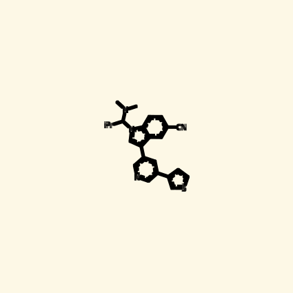 CC(C)C(N(C)C)n1cc(-c2cncc(-c3ccsc3)c2)c2cc(C#N)ccc21